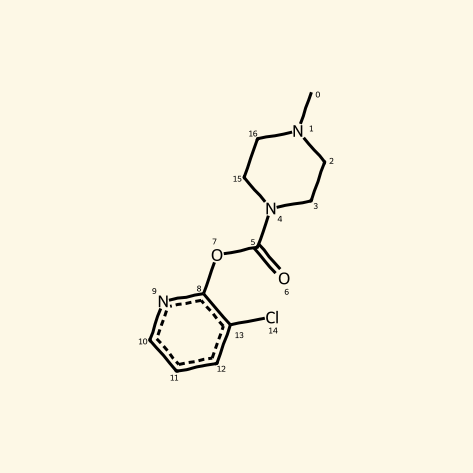 CN1CCN(C(=O)Oc2ncccc2Cl)CC1